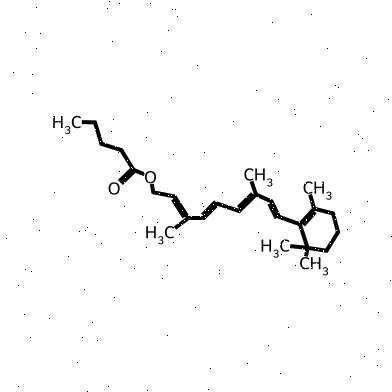 CCCCC(=O)OCC=C(C)C=CC=C(C)C=CC1=C(C)CCCC1(C)C